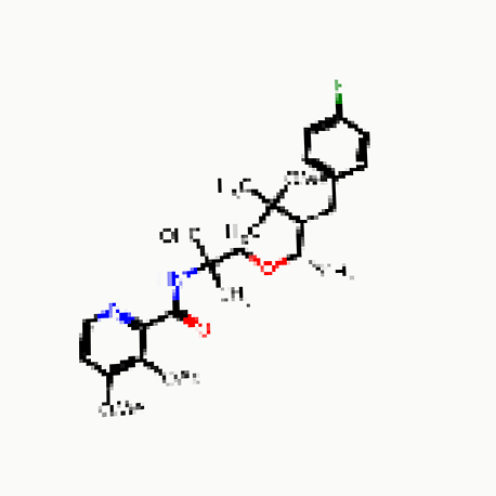 COc1ccnc(C(=O)N[C@](C)(C=O)CO[C@@H](C)[C@H](Cc2ccc(F)cc2)C(C)(C)OC)c1OC(C)=O